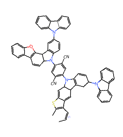 C/C=C\c1c(C)sc2c1=CC1C3=C(C=CC(n4c5ccccc5c5ccccc54)C3)N(c3cc(C#N)c(N4c5ccc(-n6c7ccccc7c7ccccc76)cc5C5c6oc7ccccc7c6C=CC54)cc3C#N)C1C=2